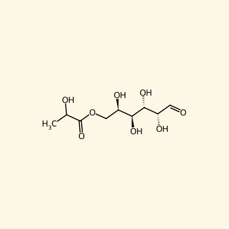 CC(O)C(=O)OC[C@@H](O)[C@H](O)[C@H](O)[C@@H](O)C=O